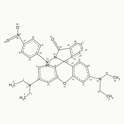 CCN(CC)c1ccc2c(c1)Oc1cc(N(CC)CC)ccc1C21c2ccccc2C(=O)N1Nc1ccc([N+](=O)[O-])cc1